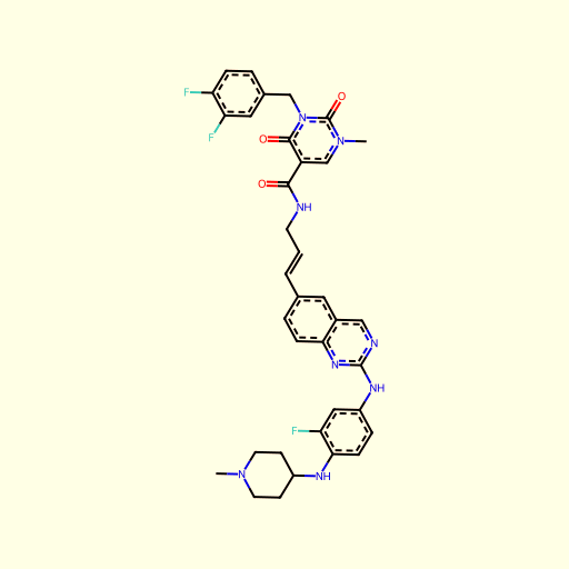 CN1CCC(Nc2ccc(Nc3ncc4cc(C=CCNC(=O)c5cn(C)c(=O)n(Cc6ccc(F)c(F)c6)c5=O)ccc4n3)cc2F)CC1